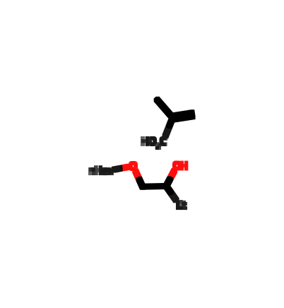 C=C(C)C(=O)O.CCCCCCOCC(O)CC